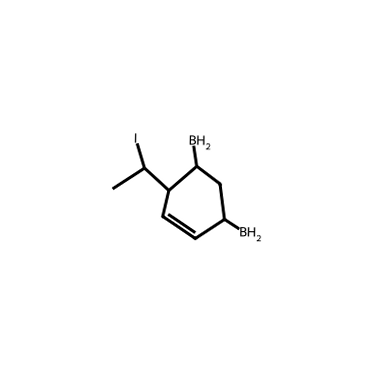 BC1C=CC(C(C)I)C(B)C1